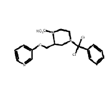 O=C(O)N1CCN(C(Cl)(Cl)c2ccccc2)CC1COc1cccnc1